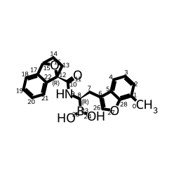 Cc1cccc2c(C[C@H](NC(=O)[C@]34CCC(O3)c3ccccc34)B(O)O)coc12